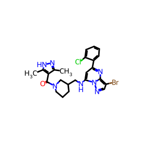 Cc1n[nH]c(C)c1C(=O)N1CCCC(CNc2cc(-c3ccccc3Cl)nc3c(Br)cnn23)C1